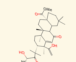 C=C(O)[C@]1(C)C2=CC(=O)C3C4CC(C)(C)CC[C@]4(C(=O)OC)CC[C@@]3(C)[C@]2(C)CC[C@H]1C(C)(C)C(=O)[C@@H](O)C#N